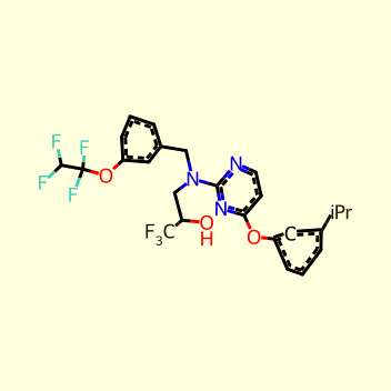 CC(C)c1cccc(Oc2ccnc(N(Cc3cccc(OC(F)(F)C(F)F)c3)CC(O)C(F)(F)F)n2)c1